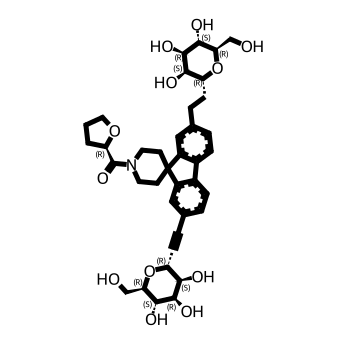 O=C([C@H]1CCCO1)N1CCC2(CC1)c1cc(C#C[C@H]3O[C@H](CO)[C@@H](O)[C@H](O)[C@@H]3O)ccc1-c1ccc(CC[C@H]3O[C@H](CO)[C@@H](O)[C@H](O)[C@@H]3O)cc12